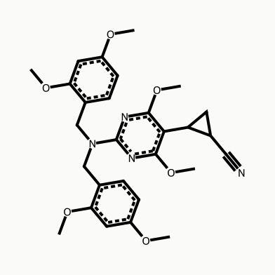 COc1ccc(CN(Cc2ccc(OC)cc2OC)c2nc(OC)c(C3CC3C#N)c(OC)n2)c(OC)c1